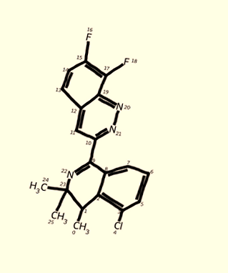 CC1c2c(Cl)cccc2C(c2cc3ccc(F)c(F)c3nn2)=NC1(C)C